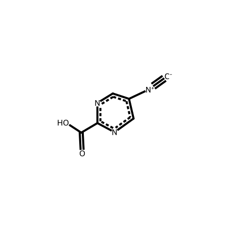 [C-]#[N+]c1cnc(C(=O)O)nc1